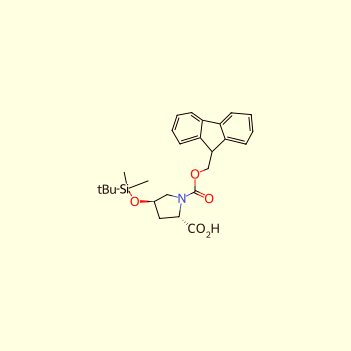 CC(C)(C)[Si](C)(C)O[C@@H]1C[C@@H](C(=O)O)N(C(=O)OCC2c3ccccc3-c3ccccc32)C1